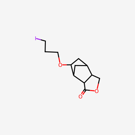 O=C1OCC2C3CC(OCCCI)C(C3)C12